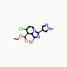 CCOC(=O)c1c(Cl)ccn2c(-c3cnn(C)c3)nc(Br)c12